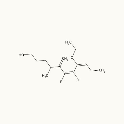 C=C(/C(F)=C(F)\C(=C/CC)OCC)C(C)CCCO